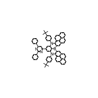 CC(C)(C)c1ccc(N2c3cc(-c4cc(-c5ccccc5)nc(-c5ccccc5)n4)cc4c3B(c3cc5ccc6cccc7ccc(c32)c5c67)c2cc3ccc5cccc6ccc(c2N4c2ccc(C(C)(C)C)cc2)c3c56)cc1